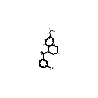 CCCc1cccc(C(=O)N2CCCc3cc(OC)ccc32)c1